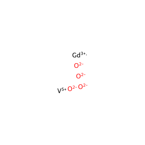 [Gd+3].[O-2].[O-2].[O-2].[O-2].[V+5]